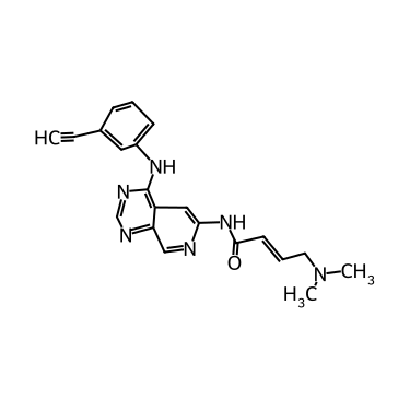 C#Cc1cccc(Nc2ncnc3cnc(NC(=O)C=CCN(C)C)cc23)c1